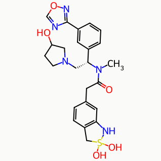 CN(C(=O)Cc1ccc2c(c1)NS(O)(O)C2)[C@H](CN1CCC(O)C1)c1cccc(-c2ncon2)c1